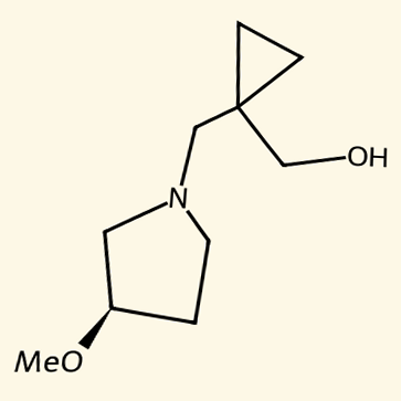 CO[C@@H]1CCN(CC2(CO)CC2)C1